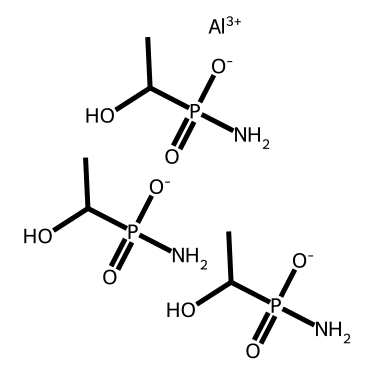 CC(O)P(N)(=O)[O-].CC(O)P(N)(=O)[O-].CC(O)P(N)(=O)[O-].[Al+3]